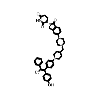 CCC(=C(c1ccc(O)cc1)c1ccc(N2CCC(CN3CCN(c4ccc5c(c4)CN([C@H]4CCC(=O)NC4=O)C5=O)CC3)CC2)cc1)c1ccccc1